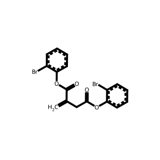 C=C(CC(=O)Oc1ccccc1Br)C(=O)Oc1ccccc1Br